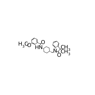 COc1cccc(C(=O)N[C@H]2CC[C@H](CN3C(=O)C(C)(C)c4ccccc43)CC2)c1